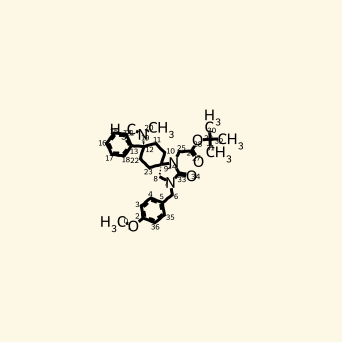 COc1ccc(CN2C[C@]3(CC[C@@](c4ccccc4)(N(C)C)CC3)N(CC(=O)OC(C)(C)C)C2=O)cc1